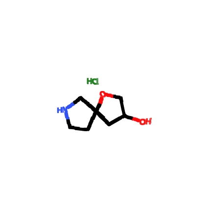 Cl.OC1COC2(CCNC2)C1